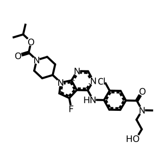 CC(C)OC(=O)N1CCC(n2cc(F)c3c(Nc4ccc(C(=O)N(C)CCO)cc4Cl)ncnc32)CC1